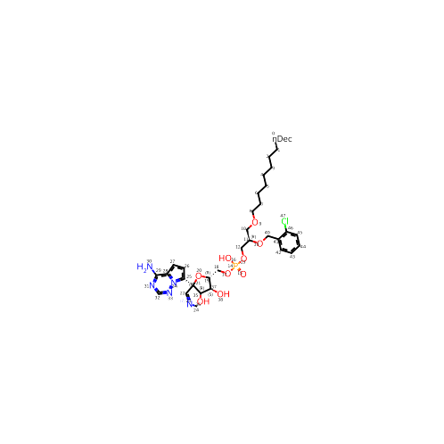 CCCCCCCCCCCCCCCCCCOC[C@H](COP(=O)(O)OC[C@H]1O[C@@](/C=N\C)(c2ccc3c(N)ncnn23)[C@H](O)[C@@H]1O)OCc1ccccc1Cl